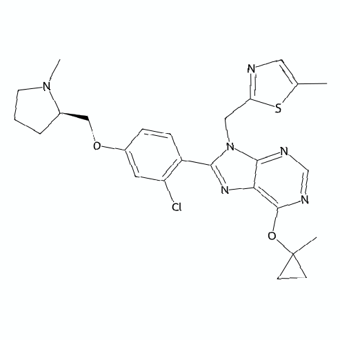 Cc1cnc(Cn2c(-c3ccc(OC[C@H]4CCCN4C)cc3Cl)nc3c(OC4(C)CC4)ncnc32)s1